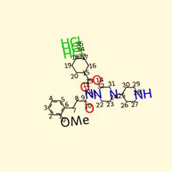 COc1ccccc1CCC(=O)N(OC(=O)C1CCCCC1)N1CCN(C2CCNCC2)CC1.Cl.Cl.Cl